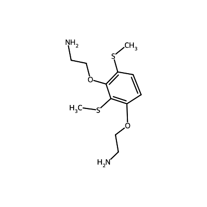 CSc1ccc(OCCN)c(SC)c1OCCN